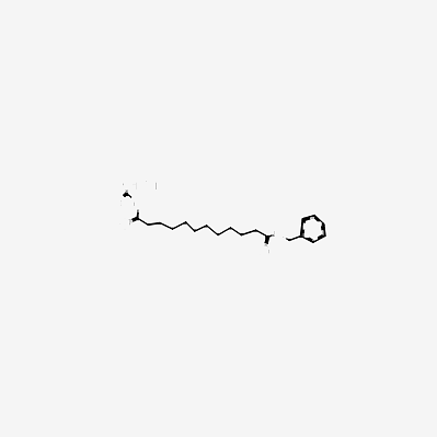 CC(C)COC(=O)OC(=O)CCCCCCCCCCC(=O)OCc1ccccc1